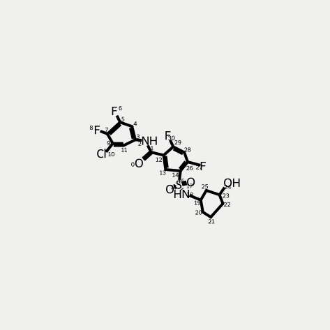 O=C(Nc1cc(F)c(F)c(Cl)c1)c1cc(S(=O)(=O)NC2CCCC(O)C2)c(F)cc1F